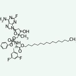 CCCCCCCCCCCCCCCCOC(=O)[C@H](Cc1cc(F)cc(F)c1)N[P@](=O)(OC[C@@]1(C)O[C@@H](n2cnc3c(N)nc(F)nc32)C[C@@H]1O)Oc1ccccc1